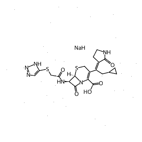 O=C(CSc1cnn[nH]1)N[C@@H]1C(=O)N2C(C(=O)O)=C(C(CC3CC3)=C3CCNC3=O)CS[C@H]12.[NaH]